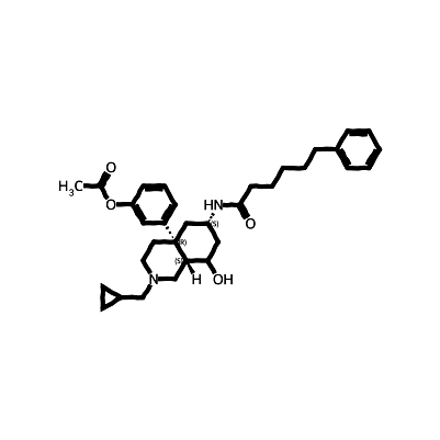 CC(=O)Oc1cccc([C@@]23CCN(CC4CC4)C[C@H]2C(O)C[C@@H](NC(=O)CCCCCc2ccccc2)C3)c1